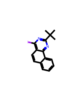 CC(C)(C)c1nc(I)c2ccc3ccccc3c2n1